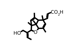 C/C=C(/CO)C1OC2C(C)=CC(C)(/C=C/C(=O)O)C3C(C)=CC1(C)C23C